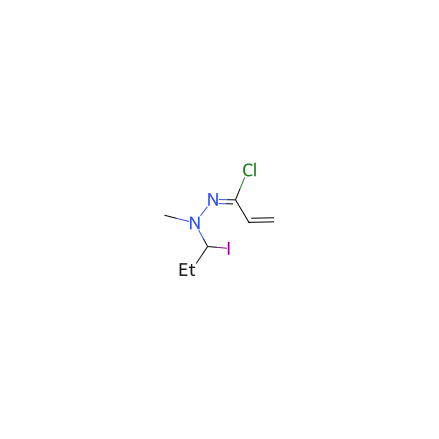 C=C/C(Cl)=N\N(C)C(I)CC